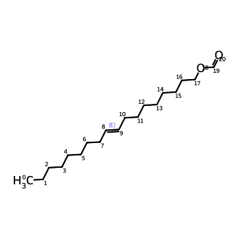 CCCCCCCC/C=C/CCCCCCCCOC=O